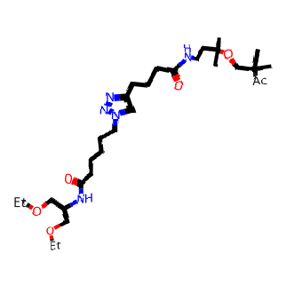 CCOCC(COCC)NC(=O)CCCCCn1cc(CCCC(=O)NCCC(C)(C)OCC(C)(C)C(C)=O)nn1